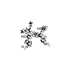 CN(C(=O)OC(C)(C)C)C(CSSC(C)(C)C)C(=O)O[C@H]1[C@@H](O)[C@H](n2cnc3c(N)ncnc32)O[C@@H]1COP(=O)(O)O[C@H]1C[C@H](n2ccc(N)nc2=O)O[C@@H]1COP(=O)(O)O